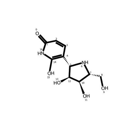 O=c1ccc([C@@H]2N[C@H](CO)[C@@H](O)[C@H]2O)c(O)[nH]1